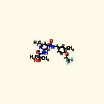 Cc1cc(C(=O)NCc2ccc(OCC(F)F)c(C)c2)cc(NC(=O)C(C)(C)O)n1